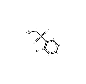 O=S(=O)(OO)c1ccccc1.[K]